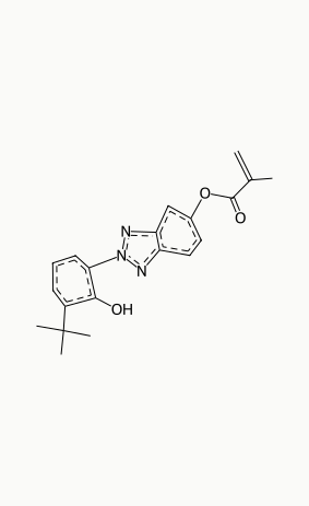 C=C(C)C(=O)Oc1ccc2nn(-c3cccc(C(C)(C)C)c3O)nc2c1